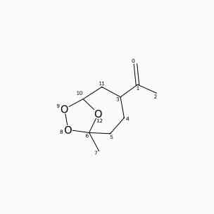 C=C(C)C1CCC2(C)OOC(C1)O2